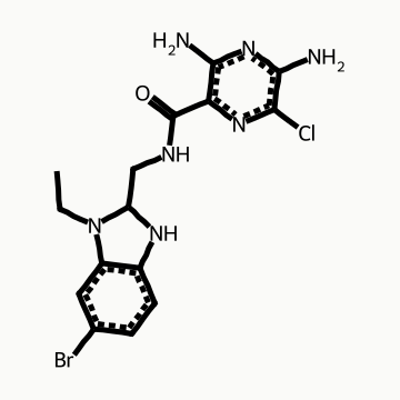 CCN1c2cc(Br)ccc2NC1CNC(=O)c1nc(Cl)c(N)nc1N